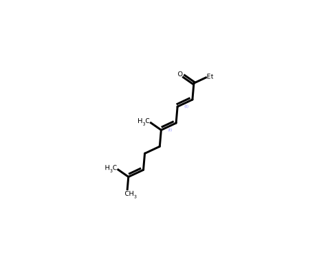 CCC(=O)/C=C/C=C(\C)CCC=C(C)C